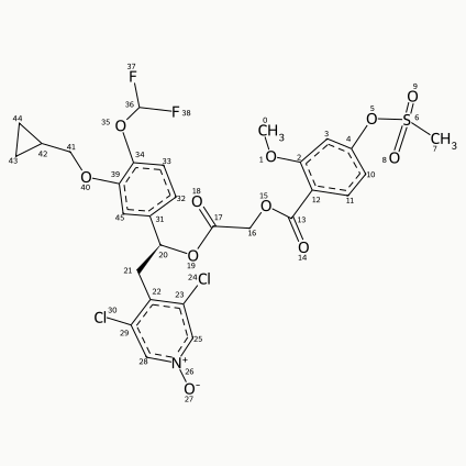 COc1cc(OS(C)(=O)=O)ccc1C(=O)OCC(=O)O[C@@H](Cc1c(Cl)c[n+]([O-])cc1Cl)c1ccc(OC(F)F)c(OCC2CC2)c1